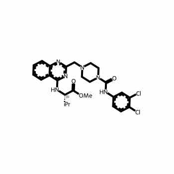 COC(=O)[C@@H](Nc1nc(CN2CCN(C(=O)Nc3ccc(Cl)c(Cl)c3)CC2)nc2ccccc12)C(C)C